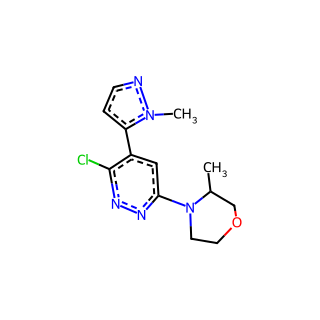 CC1COCCN1c1cc(-c2ccnn2C)c(Cl)nn1